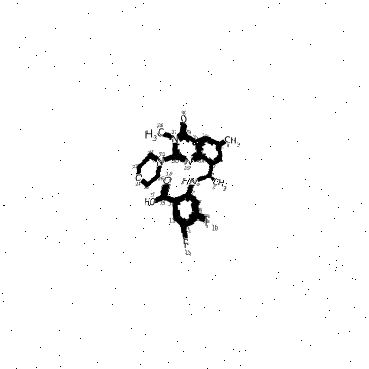 Cc1cc([C@@H](C)Nc2cc(F)c(F)cc2C(=O)O)c2nc(N3CCOCC3)n(C)c(=O)c2c1